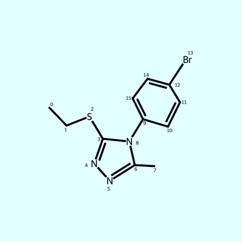 CCSc1nnc(C)n1-c1ccc(Br)cc1